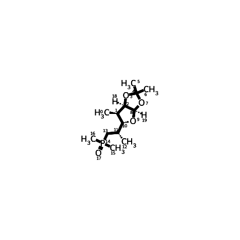 C[C@H]1[C@H]2OC(C)(C)O[C@H]2O[C@@H]1[C@H](C)CP(C)(C)=O